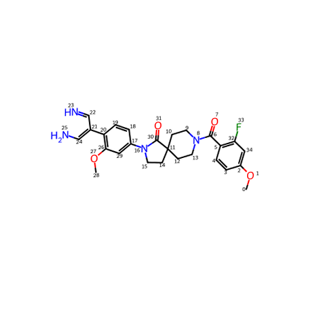 COc1ccc(C(=O)N2CCC3(CC2)CCN(c2ccc(/C(C=N)=C/N)c(OC)c2)C3=O)c(F)c1